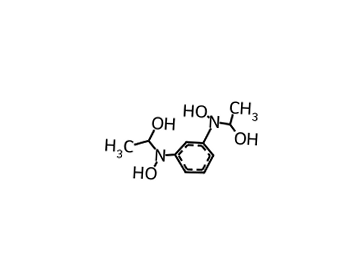 CC(O)N(O)c1cccc(N(O)C(C)O)c1